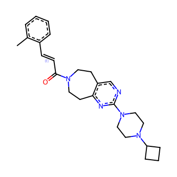 Cc1ccccc1/C=C/C(=O)N1CCc2cnc(N3CCN(C4CCC4)CC3)nc2CC1